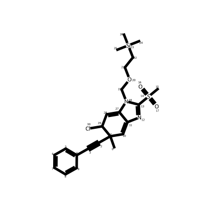 CC1(C#Cc2ccccc2)C=c2nc(S(C)(=O)=O)n(COCC[Si](C)(C)C)c2=CC1Cl